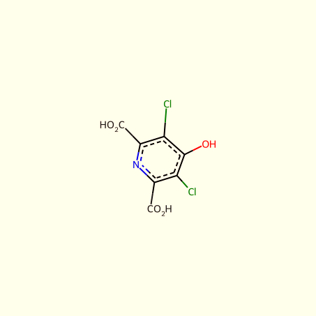 O=C(O)c1nc(C(=O)O)c(Cl)c(O)c1Cl